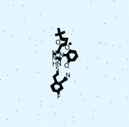 COc1cccc(OC)c1-n1c(NSCCc2ccc(F)cc2C#N)nnc1-c1ccc(C(C)(C)C)o1